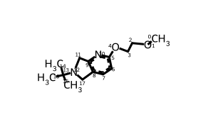 COCCOc1ccc2c(n1)CN(C(C)(C)C)C2